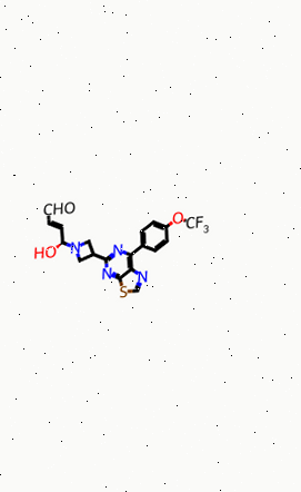 O=C/C=C/[C@H](O)N1CC(c2nc(-c3ccc(OC(F)(F)F)cc3)c3ncsc3n2)C1